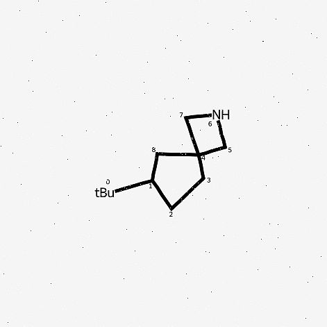 CC(C)(C)C1CCC2(CNC2)C1